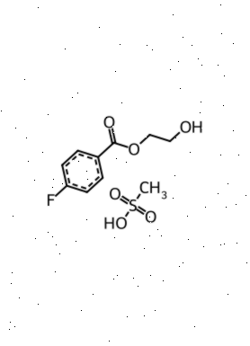 CS(=O)(=O)O.O=C(OCCO)c1ccc(F)cc1